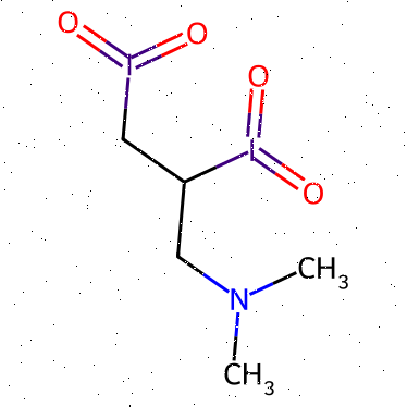 CN(C)CC(CI(=O)=O)I(=O)=O